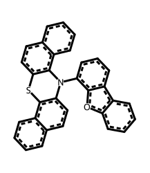 c1ccc2c3c(ccc2c1)N(c1cccc2c1oc1ccccc12)c1c(ccc2ccccc12)S3